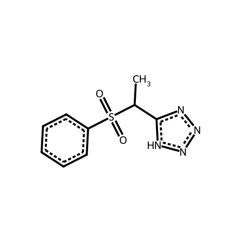 CC(c1nnn[nH]1)S(=O)(=O)c1ccccc1